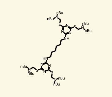 CCCCN(CCCC)CSc1nc(NCCCCCCNc2nc(SCN(CCCC)CCCC)nc(SCN(CCCC)CCCC)n2)nc(SCN(CCCC)CCCC)n1